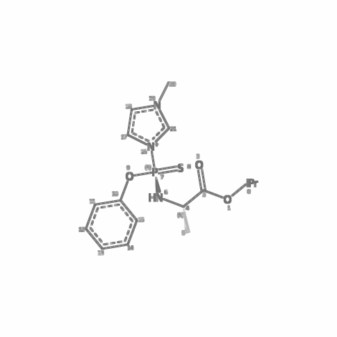 CC(C)OC(=O)[C@H](C)N[P@@](=S)(Oc1ccccc1)[n+]1ccn(C)c1